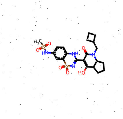 CS(=O)(=O)Nc1ccc2c(c1)S(=O)(=O)N=C(C1=C(O)C3CCCC3N(CC3CCC3)C1=O)N2